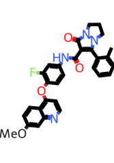 COc1ccc2c(Oc3ccc(NC(=O)c4c(-c5ccccc5C)n5n(c4=O)CCC5)cc3F)ccnc2c1